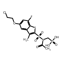 CC(=O)N(CP(=O)(O)O)S(=O)(=O)c1sc2c(F)cc(OCCCl)cc2c1C